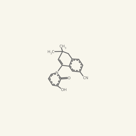 CC1(C)C=C(n2cccc(O)c2=O)c2cc(C#N)ccc2C1